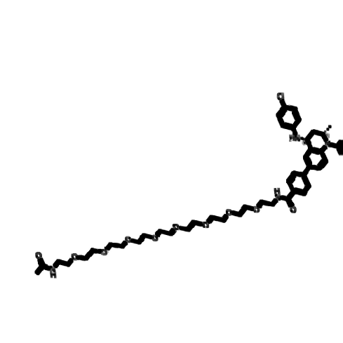 CC(=O)NCCOCCOCCOCCOCCOCCOCCOCCOCCNC(=O)c1ccc(-c2ccc3c(c2)[C@H](Nc2ccc(Cl)cc2)C[C@H](C)N3C(C)=O)cc1